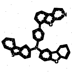 C1=CC2Oc3ccc(N(c4ccc(-c5cccc6c5oc5cnccc56)cc4)c4ccc5sc6ccccc6c5c4)cc3C2C=C1